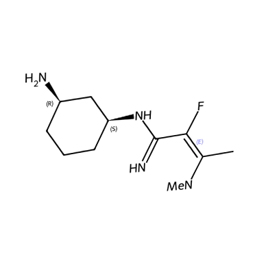 CN/C(C)=C(/F)C(=N)N[C@H]1CCC[C@@H](N)C1